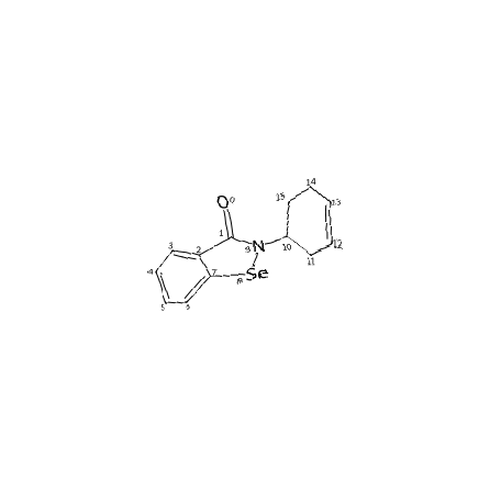 O=c1c2ccccc2[se]n1C1CC=CCC1